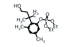 CCOP(=O)(OCC)Oc1cc(C)cc(C)c1C(C)(C)CCO